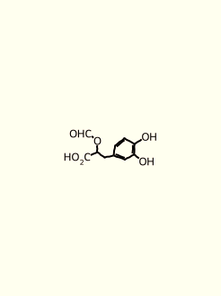 O=COC(Cc1ccc(O)c(O)c1)C(=O)O